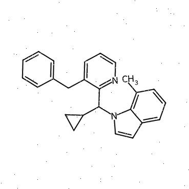 Cc1cccc2ccn(C(c3ncccc3Cc3ccccc3)C3CC3)c12